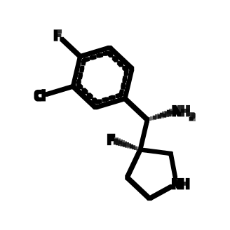 N[C@@H](c1ccc(F)c(Cl)c1)[C@]1(F)CCNC1